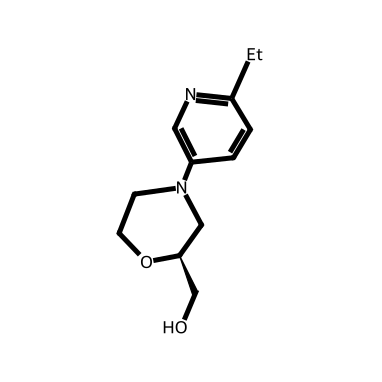 CCc1ccc(N2CCO[C@H](CO)C2)cn1